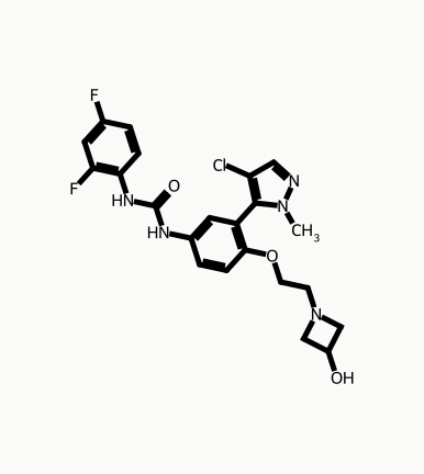 Cn1ncc(Cl)c1-c1cc(NC(=O)Nc2ccc(F)cc2F)ccc1OCCN1CC(O)C1